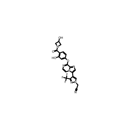 N#CCn1cc(-c2cnc3c(Oc4ccc(C(=O)N5CC(O)C5)c(O)c4)nccn23)c(C(F)(F)F)n1